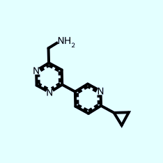 NCc1cc(-c2ccc(C3CC3)nc2)ncn1